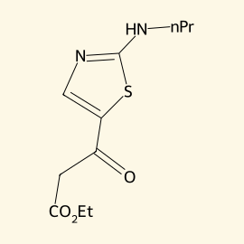 CCCNc1ncc(C(=O)CC(=O)OCC)s1